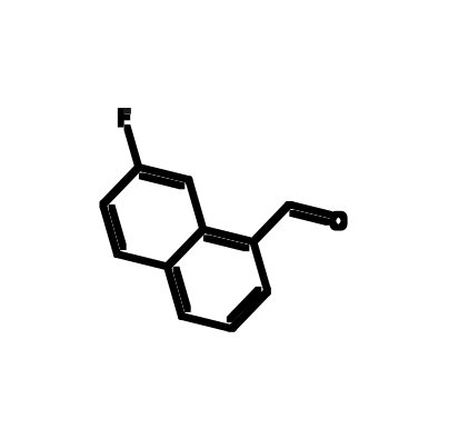 O=Cc1cccc2ccc(F)cc12